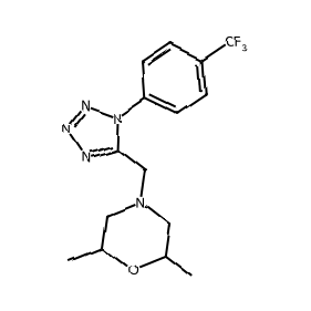 CC1CN(Cc2nnnn2-c2ccc(C(F)(F)F)cc2)CC(C)O1